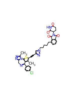 Cc1c(C#Cc2cn(CCCCCc3cccc4c3C(=O)N(C3CCC(=O)NC3=O)C4=O)cn2)sc2c1C(c1ccc(Cl)cc1)=NCc1nnc(C)n1-2